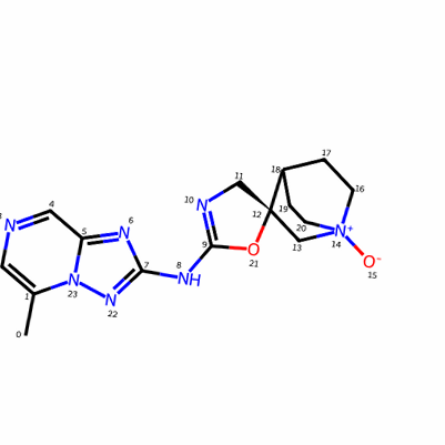 Cc1cncc2nc(NC3=NC[C@@]4(C[N+]5([O-])CCC4CC5)O3)nn12